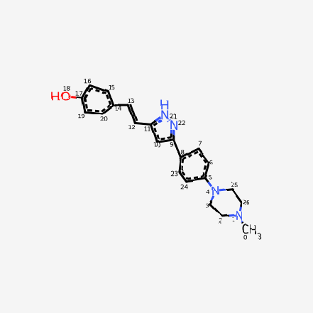 CN1CCN(c2ccc(-c3cc(C=Cc4ccc(O)cc4)[nH]n3)cc2)CC1